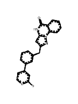 O=c1[nH]c2cc(Cc3cccc(-c4ccnc(F)c4)c3)nn2c2ccccc12